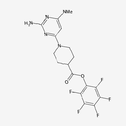 CNc1cc(N2CCC(C(=O)Oc3c(F)c(F)c(F)c(F)c3F)CC2)nc(N)n1